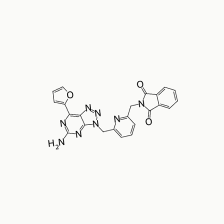 Nc1nc(-c2ccco2)c2nnn(Cc3cccc(CN4C(=O)c5ccccc5C4=O)n3)c2n1